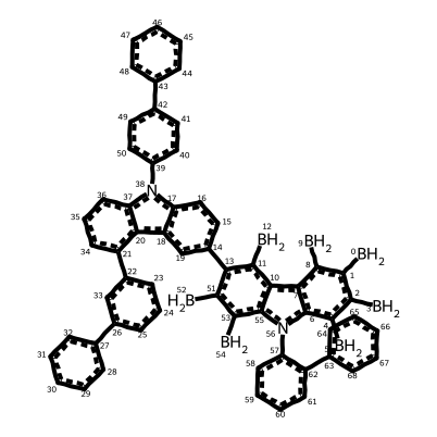 Bc1c(B)c(B)c2c(c1B)c1c(B)c(-c3ccc4c(c3)c3c(-c5cccc(-c6ccccc6)c5)cccc3n4-c3ccc(-c4ccccc4)cc3)c(B)c(B)c1n2-c1ccccc1-c1ccccc1